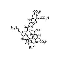 CC[C@H](C)[C@H](N)C(=O)N[C@@H](CC(=O)O)C(=O)N[C@@H](CC(C)C)C(=O)N[C@@H](C)C(=O)N[C@@H](CCCCN)C(=O)N[C@@H](CC(C)C)C(=O)NCC(=O)N[C@@H](CCC(=O)O)C(=O)NCC(=O)O